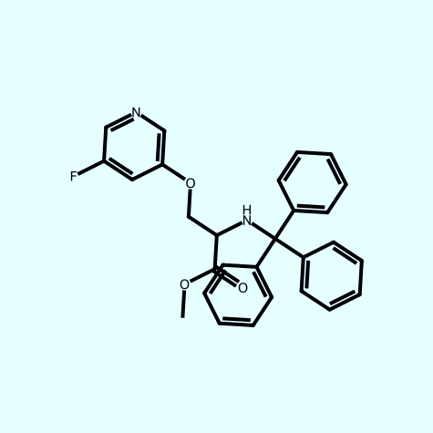 COC(=O)C(COc1cncc(F)c1)NC(c1ccccc1)(c1ccccc1)c1ccccc1